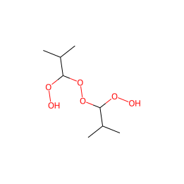 CC(C)C(OO)OOC(OO)C(C)C